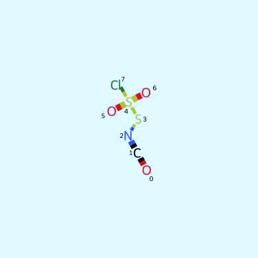 O=C=NSS(=O)(=O)Cl